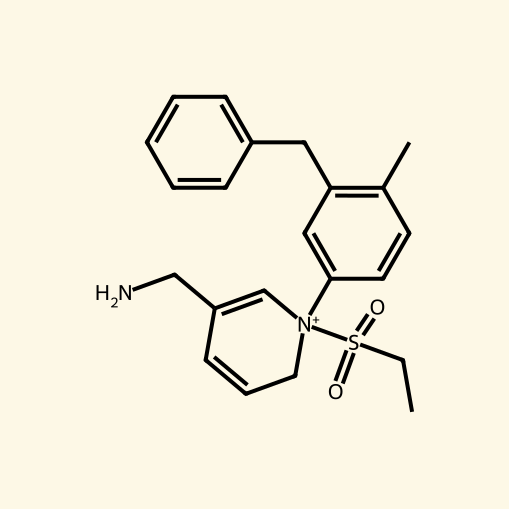 CCS(=O)(=O)[N+]1(c2ccc(C)c(Cc3ccccc3)c2)C=C(CN)C=CC1